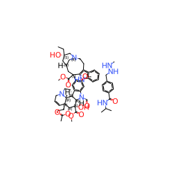 CC[C@]1(O)C[C@H]2C[N@](CCc3c([nH]c4ccccc34)[C@@](C(=O)OC)(c3cc4c(cc3OC)N(C=O)[C@H]3[C@@](O)(C(=O)OC)[C@H](OC(C)=O)[C@]5(CC)C=CCN6CC[C@]43[C@@H]65)C2)C1.CNNCc1ccc(C(=O)NC(C)C)cc1